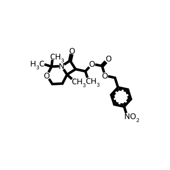 CC(OC(=O)OCc1ccc([N+](=O)[O-])cc1)C1C(=O)N2C(C)(C)OCCC12C